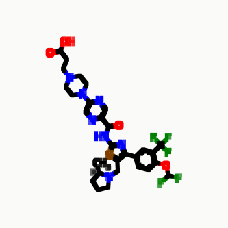 C[C@@H]1CCCN1Cc1sc(NC(=O)c2cnc(N3CCN(CCC(=O)O)CC3)cn2)nc1-c1ccc(OC(F)F)c(C(F)(F)F)c1